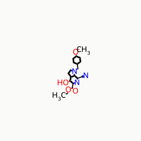 CCOC(=O)c1nc(C#N)c2c(ccn2Cc2ccc(OC)cc2)c1O